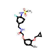 CC(C)(C)c1ccc(OCC(=O)NCc2ccc(NS(C)(=O)=O)c(F)c2)cc1OCC1CC1